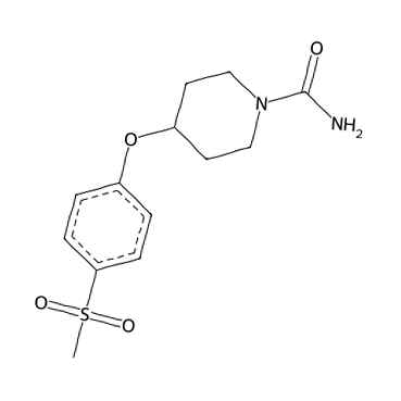 CS(=O)(=O)c1ccc(OC2CCN(C(N)=O)CC2)cc1